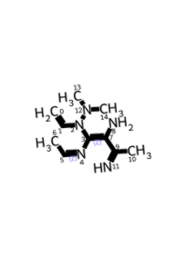 C=CN(C(/N=C\C)=C(\N)C(C)=N)N(C)C